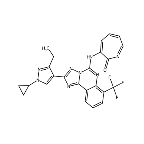 CCc1nn(C2CC2)cc1-c1nc2c3cccc(C(F)(F)F)c3nc(Nc3ccccnc3=O)n2n1